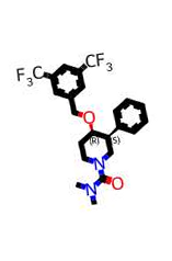 CN(C)C(=O)N1CC[C@@H](OCc2cc(C(F)(F)F)cc(C(F)(F)F)c2)[C@@H](c2ccccc2)C1